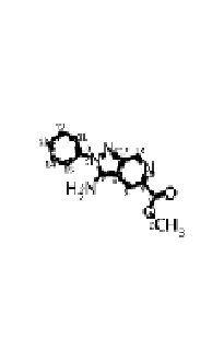 COC(=O)c1cc2c(N)n(-c3ccccc3)nc2cn1